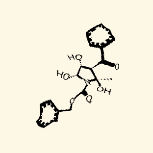 C[C@@]1(O)[C@H](C(=O)c2ccccc2)[C@@H](O)[C@@H](O)N1C(=O)OCc1ccccc1